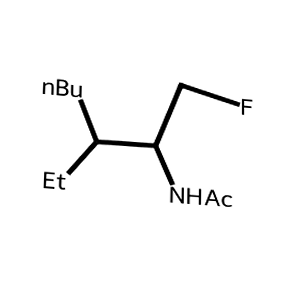 CCCCC(CC)C(CF)NC(C)=O